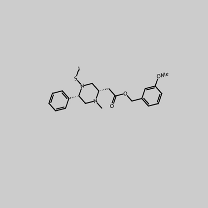 COc1cccc(COC(=O)C[C@H]2CN(SI)[C@@H](c3ccccc3)CN2C)c1